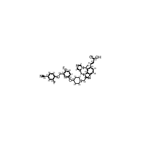 CCn1cncc1Cn1c(CN2CCC(Oc3ccc(F)c(COc4ccc(C#N)cc4F)n3)CC2)nc2ccc(/C=C/C(=O)O)cc21